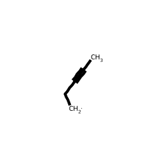 [CH2]CC#CC